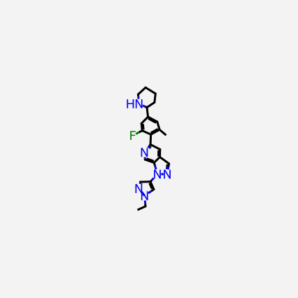 CCn1cc(-n2ncc3cc(-c4c(C)cc(C5CCCCN5)cc4F)ncc32)cn1